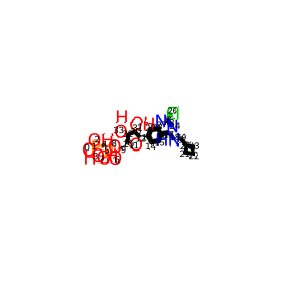 O=P(O)(O)CP(=O)(O)OC[C@H]1O[C@@H](c2ccc3c(NCC4CCC4)nc(Cl)nc3c2)[C@H](O)[C@@H]1O